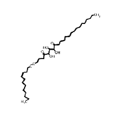 CCCCCCCC/C=C\CCCCCCCC(=O)C(O)C(O)C(O)C(=O)CCCCCCCCCCCCCCC